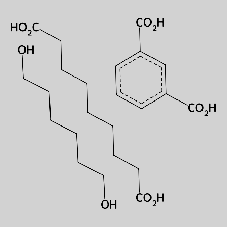 O=C(O)CCCCCCCC(=O)O.O=C(O)c1cccc(C(=O)O)c1.OCCCCCCO